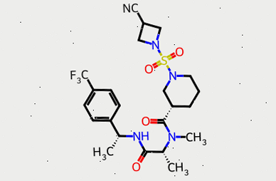 C[C@H](C(=O)N[C@H](C)c1ccc(C(F)(F)F)cc1)N(C)C(=O)[C@H]1CCCN(S(=O)(=O)N2CC(C#N)C2)C1